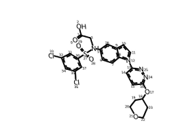 O=C(O)CN(c1ccc2c(ccn2-c2ccc(OC3CCOCC3)nn2)c1)S(=O)(=O)c1cc(Cl)cc(Cl)c1